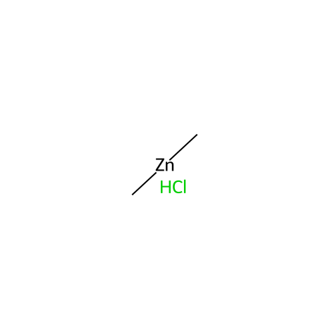 Cl.[CH3][Zn][CH3]